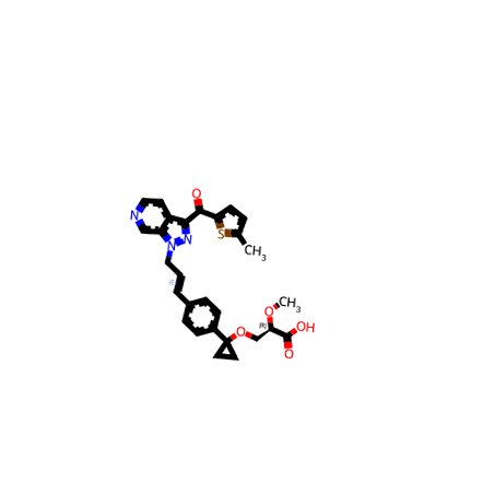 CO[C@H](COC1(c2ccc(/C=C/Cn3nc(C(=O)c4ccc(C)s4)c4ccncc43)cc2)CC1)C(=O)O